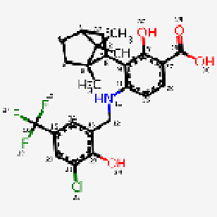 CC1(C)C2CCC1(C)C(c1c(NCc3cc(C(F)(F)F)cc(Cl)c3O)ccc(C(=O)O)c1O)C2